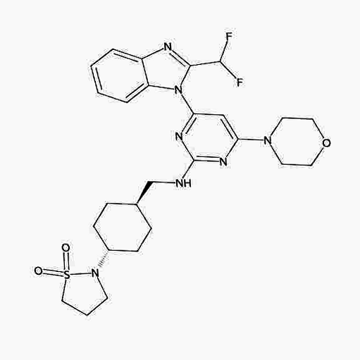 O=S1(=O)CCCN1[C@H]1CC[C@H](CNc2nc(N3CCOCC3)cc(-n3c(C(F)F)nc4ccccc43)n2)CC1